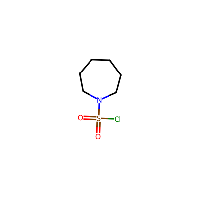 O=S(=O)(Cl)N1CCCCCC1